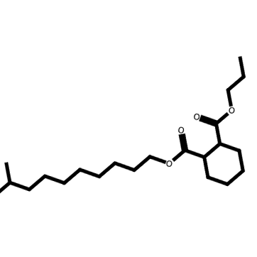 CCCOC(=O)C1CCCCC1C(=O)OCCCCCCCCC(C)C